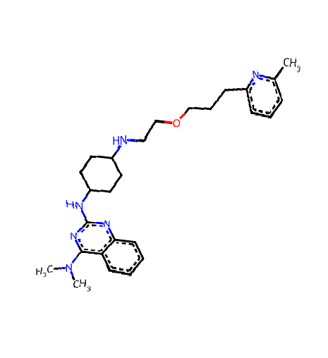 Cc1cccc(CCCOCCNC2CCC(Nc3nc(N(C)C)c4ccccc4n3)CC2)n1